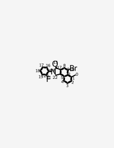 Cc1cccc2c3c(cc(Br)c12)C(=O)N(c1ccccc1F)C3